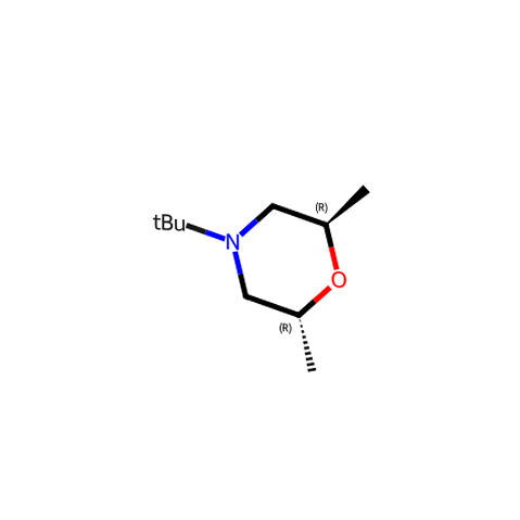 C[C@@H]1CN(C(C)(C)C)C[C@@H](C)O1